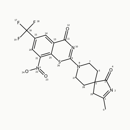 CC1=NC(=O)C2(CCN(c3nc(=O)c4cc(C(F)(F)F)cc([N+](=O)[O-])c4s3)CC2)C1